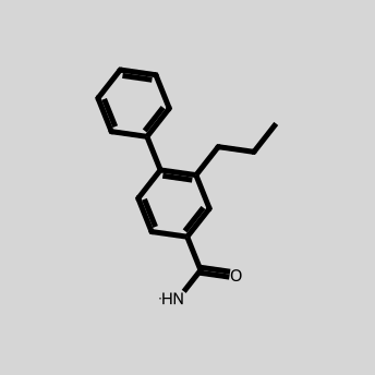 CCCc1cc(C([NH])=O)ccc1-c1ccccc1